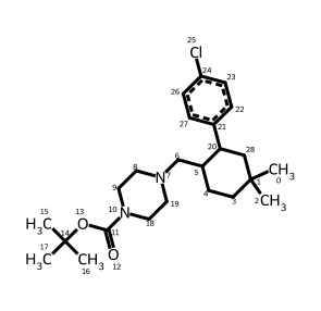 CC1(C)CCC(CN2CCN(C(=O)OC(C)(C)C)CC2)C(c2ccc(Cl)cc2)C1